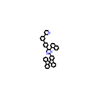 c1cncc(-c2cccc(-c3ccc(-c4cnc(-c5ccc6c(c5)C5(c7ccccc7-c7ccccc75)c5ccccc5-6)nc4-c4cccc5ccccc45)cc3)c2)c1